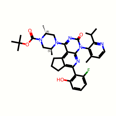 Cc1ccnc(C(C)C)c1-n1c(=O)nc(N2C[C@@H](C)N(C(=O)OC(C)(C)C)C[C@@H]2C)c2c3c(c(-c4c(O)cccc4F)nc21)CCC3